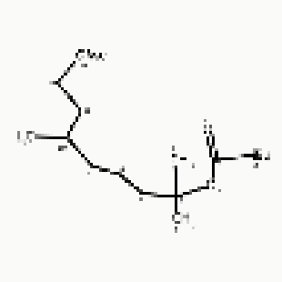 CCC(C)C(=O)OC(C)(C)CCCC(C)CCOC